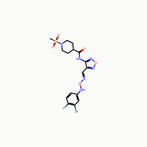 CS(=O)(=O)N1CCC(C(=O)Nc2nonc2/C=N/ONc2ccc(F)c(Br)c2)CC1